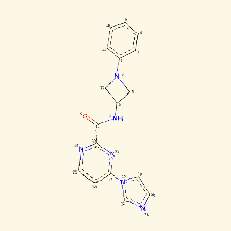 O=C(NC1CN(c2ccccc2)C1)c1nccc(-n2ccnc2)n1